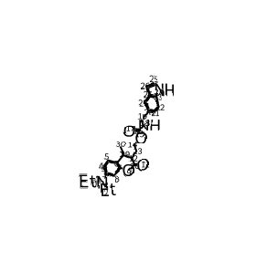 CCN(CC)c1ccc2c(c1)OC(=O)C(CCOC(=O)NCc1ccc3[nH]ccc3c1)C2C